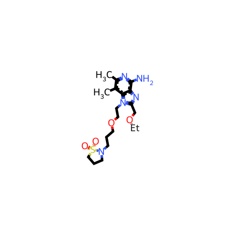 CCOCc1nc2c(N)nc(C)c(C)c2n1CCOCCCN1CCCS1(=O)=O